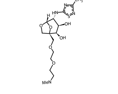 CNCCOCCOC[C@@]12CO[C@@H](O1)[C@H](Nc1nc(C)ns1)[C@@H](O)[C@H]2O